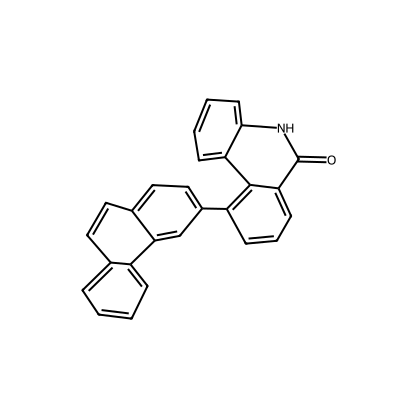 O=c1[nH]c2ccccc2c2c(-c3ccc4ccc5ccccc5c4c3)cccc12